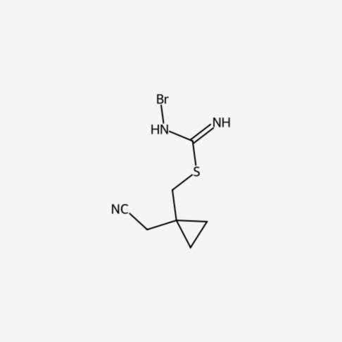 N#CCC1(CSC(=N)NBr)CC1